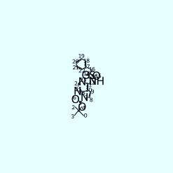 CC(C)(C)OC(=O)n1ccc2c(NS(=O)(=O)Cc3ccccc3)ncnc21